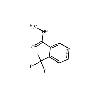 [CH2]NC(=O)c1ccccc1C(F)(F)F